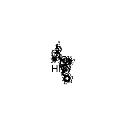 CCOC(=O)CN(C(=O)C[C@H](NC(=O)Cc1ccccc1)C(=O)OC(C)(C)C)C1CC1